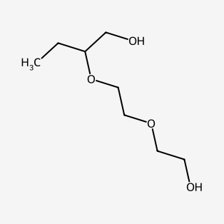 CCC(CO)OCCOCCO